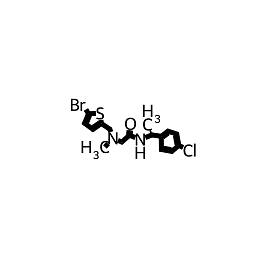 C[C@@H](NC(=O)CN(C)Cc1ccc(Br)s1)c1ccc(Cl)cc1